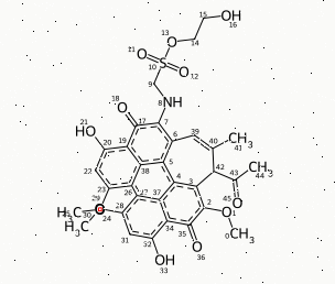 COc1c2c3c4c(c(NCS(=O)(=O)OCCO)c(=O)c5c(O)cc(OC)c(c6c(OC)cc(O)c(c1=O)c63)c54)C=C(C)C2C(C)=O